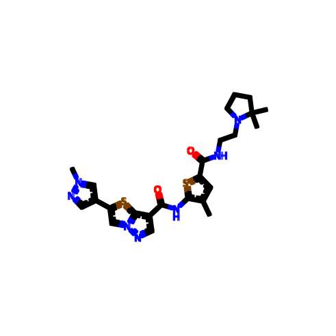 Cc1cc(C(=O)NCCN2CCCC2(C)C)sc1NC(=O)c1cnn2cc(-c3cnn(C)c3)sc12